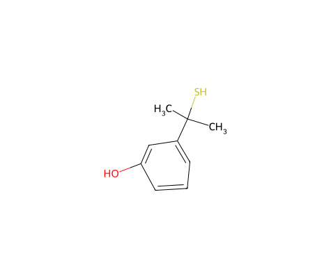 CC(C)(S)c1cccc(O)c1